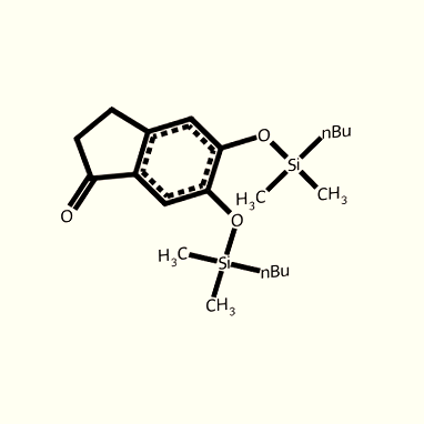 CCCC[Si](C)(C)Oc1cc2c(cc1O[Si](C)(C)CCCC)C(=O)CC2